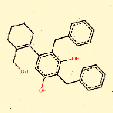 OCC1=C(c2cc(O)c(Cc3ccccc3)c(O)c2Cc2ccccc2)CCCC1